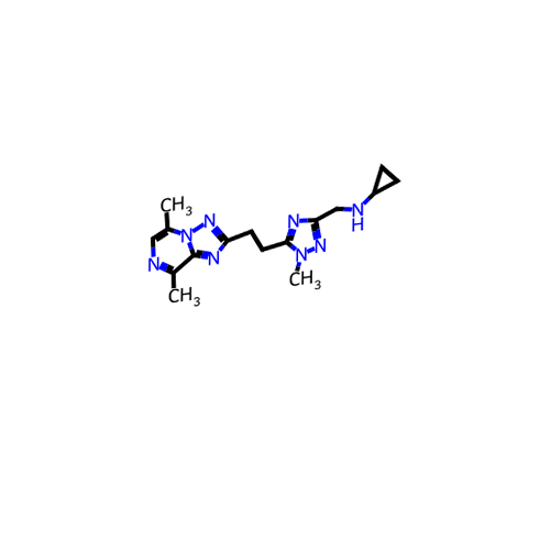 Cc1ncc(C)n2nc(CCc3nc(CNC4CC4)nn3C)nc12